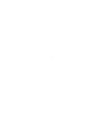 O=C(O)c1ccc(-c2ccco2)c(F)c1